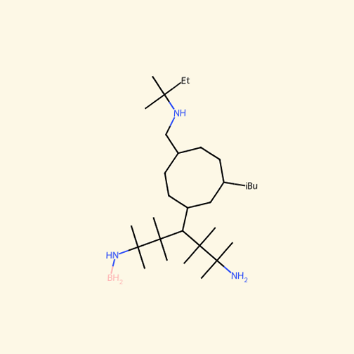 BNC(C)(C)C(C)(C)C(C1CCC(CNC(C)(C)CC)CCC(C(C)CC)C1)C(C)(C)C(C)(C)N